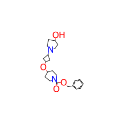 O=C(OCc1ccccc1)N1CCC(OC2CC(N3CCC(O)CC3)C2)CC1